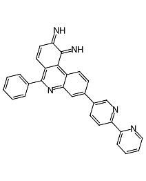 N=C1C=Cc2c(-c3ccccc3)nc3cc(-c4ccc(-c5ccccn5)nc4)ccc3c2C1=N